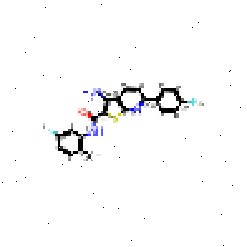 Cc1ccc(F)cc1NC(=O)c1sc2nc(-c3ccc(F)cc3)ccc2c1N